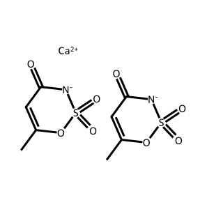 CC1=CC(=O)[N-]S(=O)(=O)O1.CC1=CC(=O)[N-]S(=O)(=O)O1.[Ca+2]